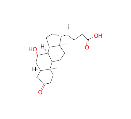 C[C@H](CCC(=O)O)[C@H]1CCC2[C@@H]3C(O)C[C@@H]4CC(=O)CC[C@]4(C)C3CC[C@@]21C